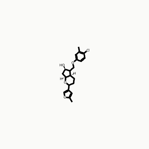 Cc1cc(C2CC[C@@H]3C(COc4ccc(Cl)c(C)c4)[C@H](O)C[C@@H]3O2)co1